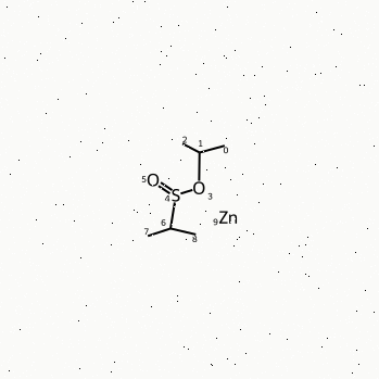 CC(C)OS(=O)C(C)C.[Zn]